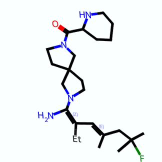 CCC(/C=C(\C)CC(C)(C)F)=C(\N)N1CCC2(CCN(C(=O)C3CCCCN3)C2)C1